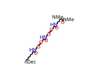 CCCCCCCCCCCCCCCCCC(=O)NCCOCCOCCC(=O)NCCOCCOCCC(=O)NCCCCC(NC)C(=O)NC